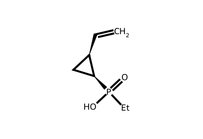 C=C[C@@H]1C[C@@H]1P(=O)(O)CC